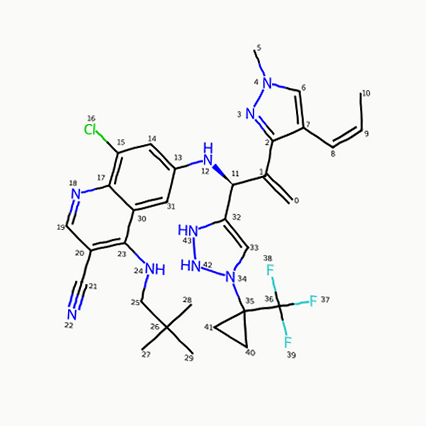 C=C(c1nn(C)cc1/C=C\C)[C@H](Nc1cc(Cl)c2ncc(C#N)c(NCC(C)(C)C)c2c1)C1=CN(C2(C(F)(F)F)CC2)NN1